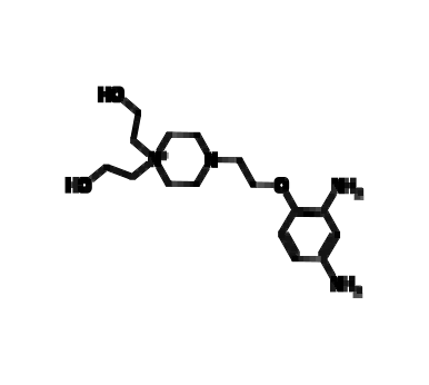 Nc1ccc(OCCN2CC[N+](CCO)(CCO)CC2)c(N)c1